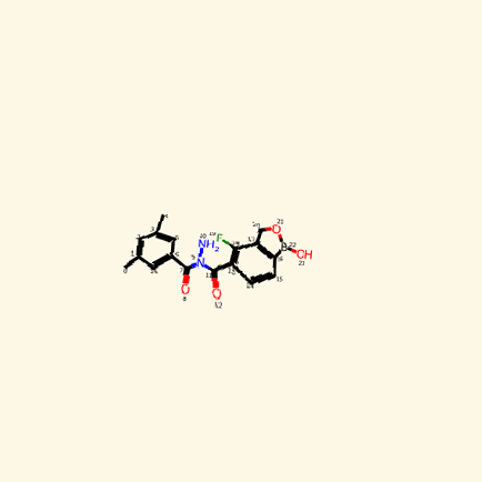 Cc1cc(C)cc(C(=O)N(N)C(=O)c2ccc3c(c2F)COB3O)c1